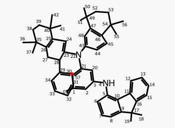 Cc1cc(Nc2cccc3c2-c2ccccc2C3(C)C)cc(N(C2=CC3=C(CC2c2ccccc2)C(C)(C)CCC3(C)C)c2ccc3c(c2)C(C)(C)CCC3(C)C)c1